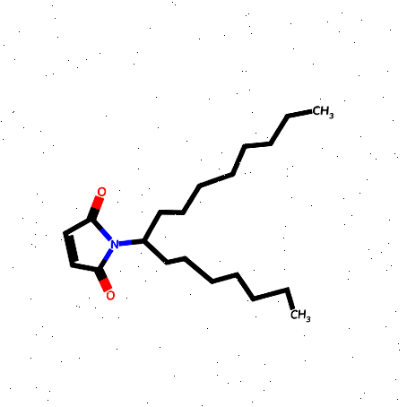 CCCCCCCCC(CCCCCCC)N1C(=O)C=CC1=O